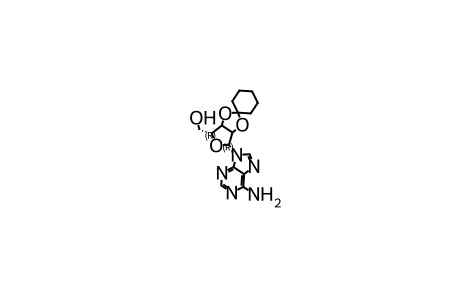 Nc1ncnc2c1ncn2[C@@H]1O[C@H](CO)C2OC3(CCCCC3)OC21